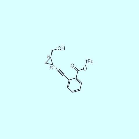 CC(C)(C)OC(=O)c1ccccc1C#C[C@@H]1C[C@H]1CO